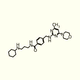 Cc1cc(N2CCOCC2)nc(NCc2ccc(C(=O)NCCCNC3CCCCC3)cc2)n1